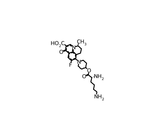 C[C@H]1CCc2c(N3CCC(OC(=O)[C@H](N)CCCCN)CC3)c(F)cc3c(=O)c(C(=O)O)cn1c23